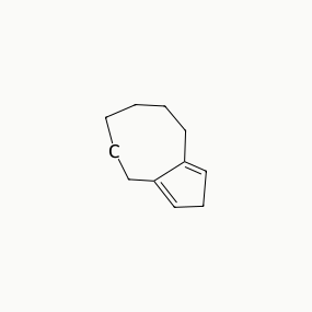 C1=C2CCCCCCC2=CC1